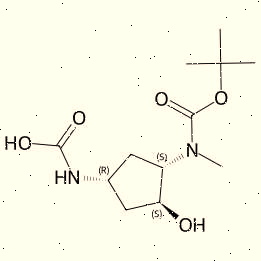 CN(C(=O)OC(C)(C)C)[C@H]1C[C@@H](NC(=O)O)C[C@@H]1O